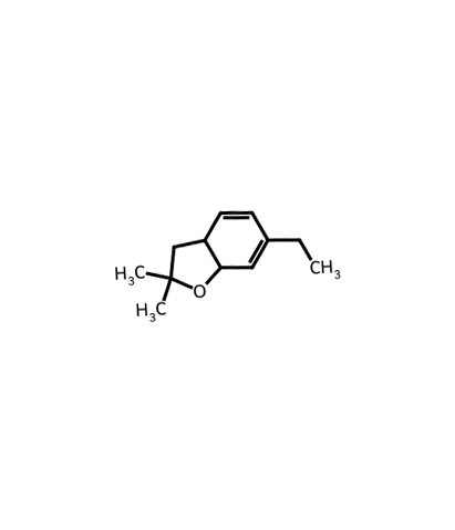 CCC1=CC2OC(C)(C)CC2C=C1